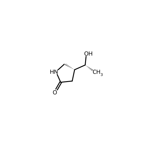 C[C@@H](O)[C@H]1CNC(=O)C1